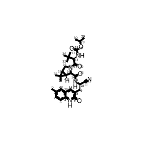 Cc1ccc2[nH]c(=O)c(C[C@H](C#N)NC(=O)C3[C@H]4C(CN3C(=O)[C@H](NC(=O)OC(C)C)C(C)(C)C)C4(C)C)cc2c1